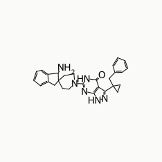 N[C@@H]1c2ccccc2CC12CCN(c1nc3[nH]nc(C4(Cc5ccccc5)CC4)c3c(=O)[nH]1)CC2